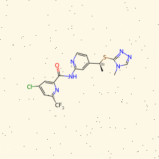 C[C@H](Sc1nncn1C)c1ccnc(NC(=O)c2cc(Cl)cc(C(F)(F)F)n2)c1